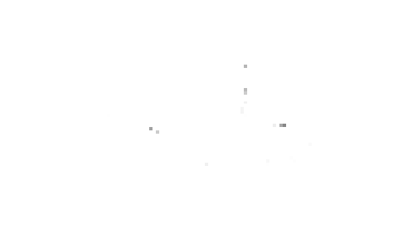 C[C@@]1(N=[N+]=[N-])[C@@H]2OP(=O)(NCc3ccccc3)OC[C@H]2O[C@H]1n1ccc(=O)[nH]c1=O